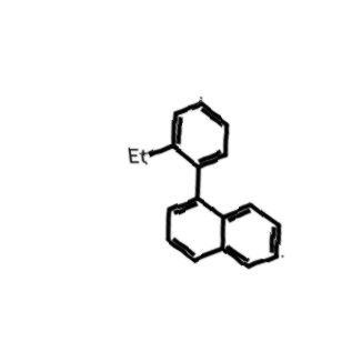 CCc1c[c]ccc1-c1cccc2c[c]ccc12